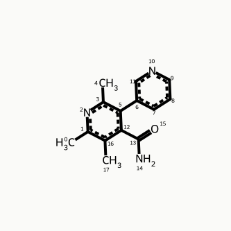 Cc1nc(C)c(-c2cccnc2)c(C(N)=O)c1C